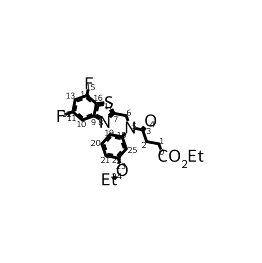 CCOC(=O)CCC(=O)N(Cc1nc2cc(F)cc(F)c2s1)c1cccc(OCC)c1